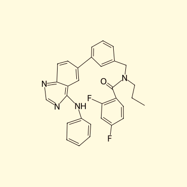 CCCN(Cc1cccc(-c2ccc3ncnc(Nc4ccccc4)c3c2)c1)C(=O)c1ccc(F)cc1F